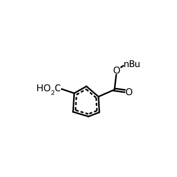 CCCCOC(=O)c1cccc(C(=O)O)c1